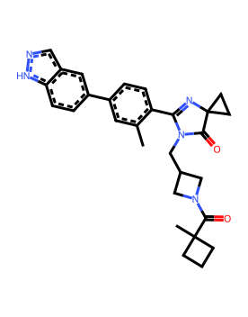 Cc1cc(-c2ccc3[nH]ncc3c2)ccc1C1=NC2(CC2)C(=O)N1CC1CN(C(=O)C2(C)CCC2)C1